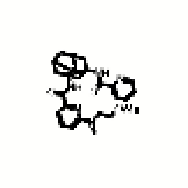 COCCN(C)c1cccc(C(=O)NC23CC4CC(CC(NC(=O)c5ccccn5)(C4)C2)C3)n1